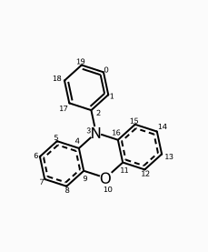 C1=C=C(N2c3ccccc3Oc3ccccc32)C=CC=1